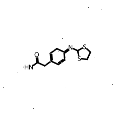 [NH]C(=O)CC1=CCC(=NC2SCCS2)C=C1